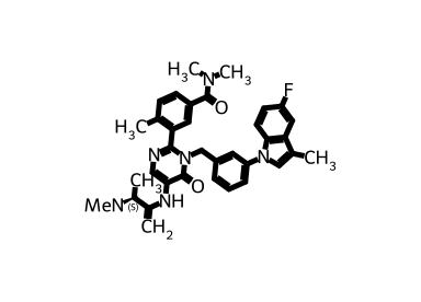 C=C(Nc1cnc(-c2cc(C(=O)N(C)C)ccc2C)n(Cc2cccc(-n3cc(C)c4cc(F)ccc43)c2)c1=O)[C@H](C)NC